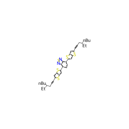 CCCCC(CC)CC#Cc1cc2sc(-c3ccc(-c4cc5sc(C#CCC(CC)CCCC)cc5s4)c4nsnc34)cc2s1